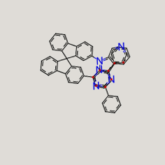 c1ccc(-c2nc(-c3ccccc3)nc(-c3ccc4c(c3)C3(c5ccccc5-4)c4ccccc4-c4ccc(-n5c6ccccc6c6ccncc65)cc43)n2)cc1